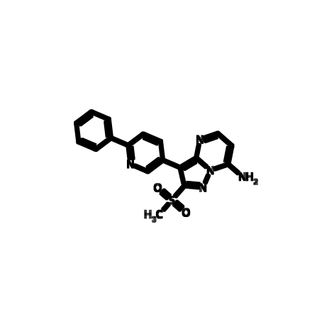 CS(=O)(=O)c1nn2c(N)ccnc2c1-c1ccc(-c2ccccc2)nc1